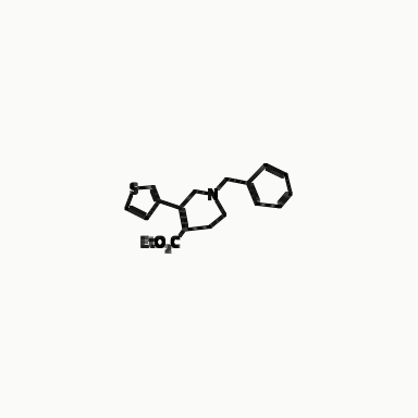 CCOC(=O)C1=C(c2ccsc2)CN(Cc2ccccc2)CC1